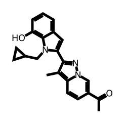 CC(=O)c1ccc2c(C)c(-c3cc4cccc(O)c4n3CC3CC3)nn2c1